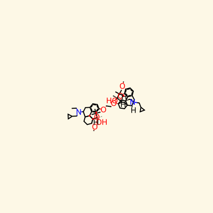 CCN(CC1CC1)C1Cc2ccc(OCCO[C@]34CCC5(C[C@@H]3[C@](C)(O)C(C)(C)C)[C@H]3Cc6ccc(OC)c7c6[C@@]5(CCN3CC3CC3)[C@@H]4O7)c3c2C2[C@H](O3)[C@@]3(OC)CCC21CC3[C@](C)(O)C(C)(C)C